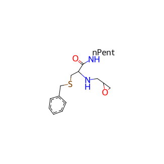 CCCCCNC(=O)C(CSCc1ccccc1)NCC1CO1